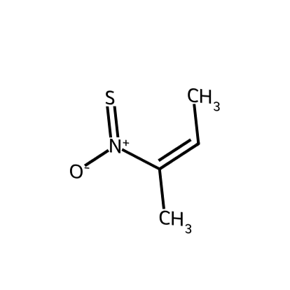 CC=C(C)[N+]([O-])=S